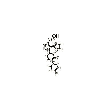 OOCc1cnn(-c2ccc(-c3ccc(F)cc3)c(F)c2)c1-c1ccco1